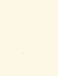 C=C(C)C(=O)OCCCC.C=CC(=O)OCC(CC)CC